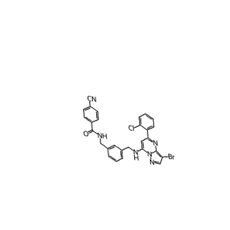 N#Cc1ccc(C(=O)NCc2cccc(CNc3cc(-c4ccccc4Cl)nc4c(Br)cnn34)c2)cc1